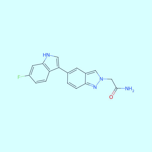 NC(=O)Cn1cc2cc(-c3c[nH]c4cc(F)ccc34)ccc2n1